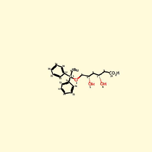 CC(C)(C)[Si](OC[C@@H](O)C[C@@H](O)CC(=O)O)(c1ccccc1)c1ccccc1